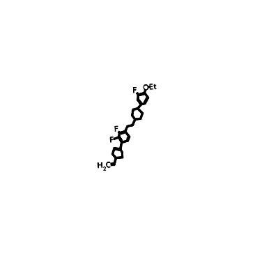 C=CC1CC=C(c2ccc(CCC3CCC(c4ccc(OCC)c(F)c4)CC3)c(F)c2F)CC1